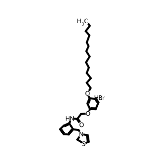 Br.CCCCCCCCCCCCCCOc1cccc(OCC(=O)Nc2ccccc2CN2C=CSC2)c1